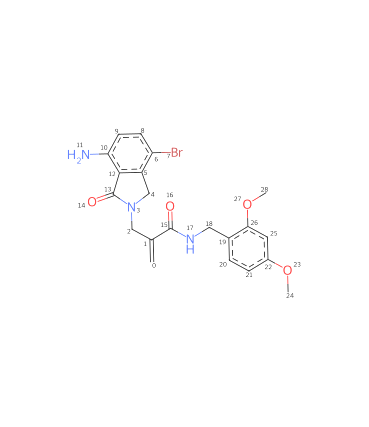 C=C(CN1Cc2c(Br)ccc(N)c2C1=O)C(=O)NCc1ccc(OC)cc1OC